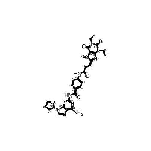 CCn1c(=O)c2c(nc(CCC(=O)Nc3ccc(C(=O)Nc4nc(N)c5ncn([C@H]6CCCO6)c5n4)cc3)n2C)n(CC)c1=O